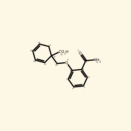 NC(=O)c1ccccc1OCC1(C(=O)O)C=CC=CC1